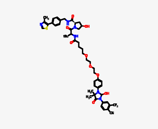 Cc1ncsc1-c1ccc(CNC(=O)[C@@H]2C[C@@H](O)CN2C(=O)C(NC(=O)CCCCOCCOCCOc2ccc(N3C(O)N(c4ccc(C#N)c(C(F)(F)F)c4)C(=O)C3(C)C)cc2)C(C)(C)C)cc1